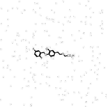 O=C(O)COCCc1ccc(OCc2cc(F)ccc2F)c(Cl)c1